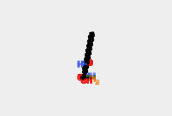 CCCCCCCCCCCCCC(=O)NCCCC[C@H](NP)C(=O)O